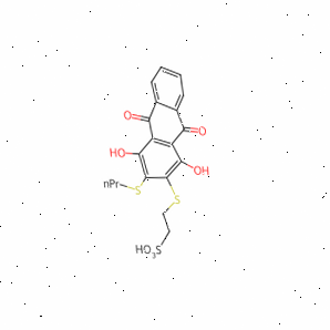 CCCSc1c(O)c2c(c(O)c1SCCS(=O)(=O)O)C(=O)c1ccccc1C2=O